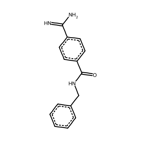 N=C(N)c1ccc(C(=O)NCc2ccccc2)cc1